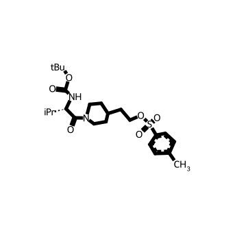 Cc1ccc(S(=O)(=O)OCCC2CCN(C(=O)[C@@H](NC(=O)OC(C)(C)C)C(C)C)CC2)cc1